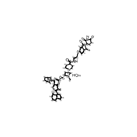 CN1C[C@@H](N2CCC(C(=O)NCCOc3ccc4c(c3)C(=O)N(C3CCC(=O)NC3=O)C4=O)CC2)C[C@H]1COc1nc(N2CC3CCC(C2)N3)c2cnc(-c3cccc4cccc(Cl)c34)c(F)c2n1.Cl